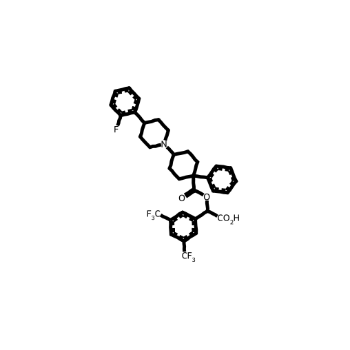 O=C(O)C(OC(=O)C1(c2ccccc2)CCC(N2CCC(c3ccccc3F)CC2)CC1)c1cc(C(F)(F)F)cc(C(F)(F)F)c1